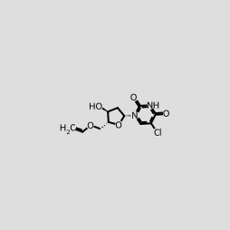 C=COC[C@H]1O[C@@H](n2cc(Cl)c(=O)[nH]c2=O)C[C@@H]1O